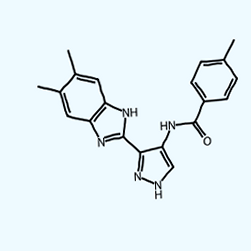 Cc1ccc(C(=O)Nc2c[nH]nc2-c2nc3cc(C)c(C)cc3[nH]2)cc1